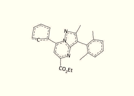 CCOC(=O)c1cc(-c2ccccc2)n2nc(C)c(-c3c(C)cccc3C)c2n1